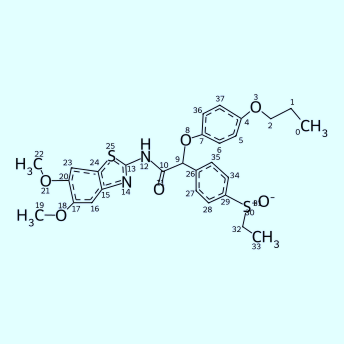 CCCOc1ccc(OC(C(=O)Nc2nc3cc(OC)c(OC)cc3s2)c2ccc([S+]([O-])CC)cc2)cc1